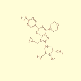 CC(=O)N1C(C)CN(c2nc3c(N4CCOCC4)nc(-c4cnc(N)nc4)nc3n2CC2CC2)CC1C